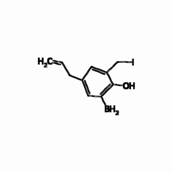 Bc1cc(CC=C)cc(CI)c1O